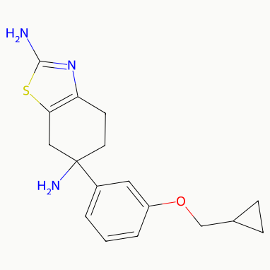 Nc1nc2c(s1)CC(N)(c1cccc(OCC3CC3)c1)CC2